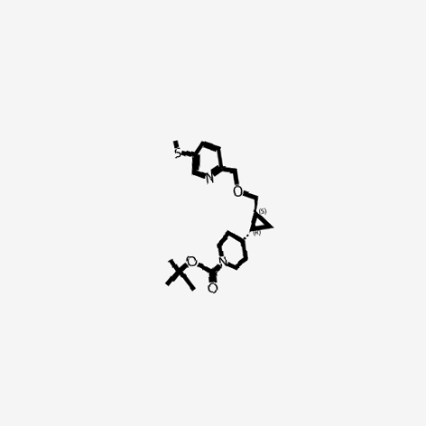 CSc1ccc(COC[C@H]2C[C@@H]2C2CCN(C(=O)OC(C)(C)C)CC2)nc1